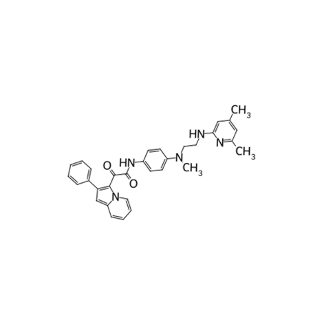 Cc1cc(C)nc(NCCN(C)c2ccc(NC(=O)C(=O)c3c(-c4ccccc4)cc4ccccn34)cc2)c1